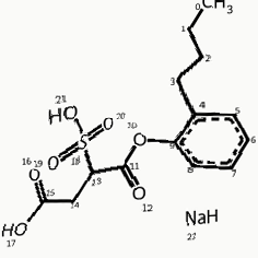 CCCCc1ccccc1OC(=O)C(CC(=O)O)S(=O)(=O)O.[NaH]